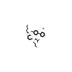 CCCCc1nc2ccc(N(CCCC)C(=O)C(C)C)nc2n1Cc1ccc(-c2ccccc2OC(=O)O)cc1